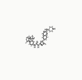 CN1CCC2CC(C1)N2Cc1ccc(NC(=O)Nc2cc(-c3ccc4nc(NC5CCNCC5)ncc4c3)n(C)n2)cc1C(F)(F)F